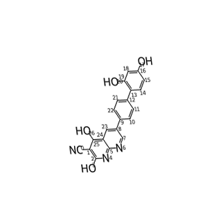 N#Cc1c(O)nc2ncc(-c3ccc(-c4ccc(O)cc4O)cc3)cc2c1O